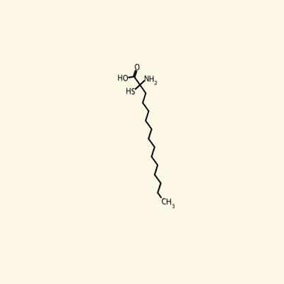 CCCCCCCCCCCCCC(N)(S)C(=O)O